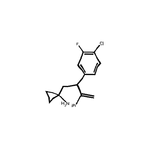 C=C(C(C)C)C(CC1(N)CC1)c1ccc(Cl)c(F)c1